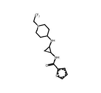 O=C(NC1CC1NC1CCN(CC(F)(F)F)CC1)c1cccs1